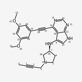 CC#CCN1CC[C@H](Nc2c[nH]c3ncnc(C#Cc4cc(OC)cc(OC)c4)c23)C1